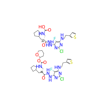 O=C(NC[C@@H](CC1CCCC1)C(=O)NNc1nc(Cl)nc(NCCc2ccsc2)c1F)OC1CCCCO1.O=C(O)NC[C@@H](CC1CCCC1)C(=O)NNc1nc(Cl)nc(NCCc2ccsc2)c1F